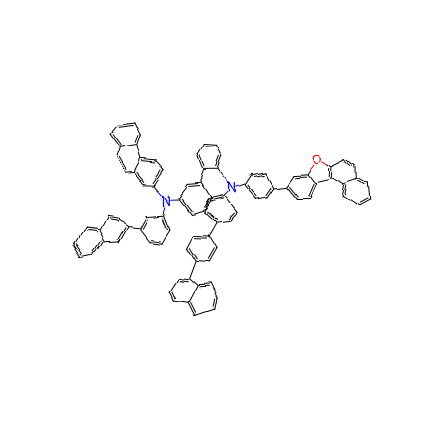 c1cc(-c2ccc3ccccc3c2)cc(N(c2cccc(-c3ccccc3N(c3ccc(-c4ccc(-c5cccc6ccccc56)cc4)cc3)c3ccc(-c4ccc5c(c4)oc4ccc6ccccc6c45)cc3)c2)c2ccc3c(ccc4ccccc43)c2)c1